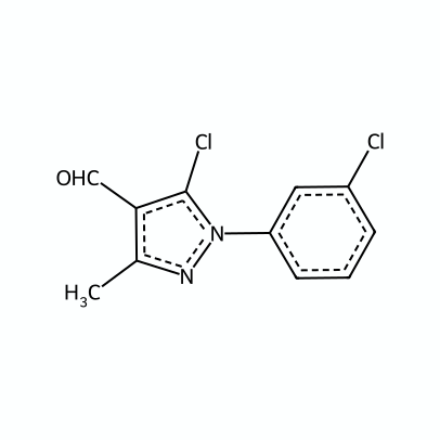 Cc1nn(-c2cccc(Cl)c2)c(Cl)c1C=O